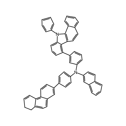 C1=Cc2c(ccc3cc(-c4ccc(N(c5cccc(-c6cccc7c6c6ccc8ccccc8c6n7-c6ccccc6)c5)c5ccc6ccccc6c5)cc4)ccc23)CC1